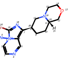 N[N+]12C=CN=CC1=C([C@@H]1CC[C@H]3COCCN3C1)N=C2Br